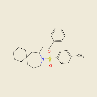 Cc1ccc(S(=O)(=O)N2CCCC3(CCCCC3)CC2/C=C/c2ccccc2)cc1